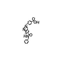 O=C(O)c1ccc(CN2C=Nc3sc(C(=O)NCc4ccccc4)cc3C2)cc1